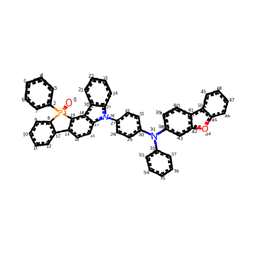 O=P1(c2ccccc2)c2ccccc2-c2ccc3c(c21)c1ccccc1n3-c1ccc(N(c2ccccc2)c2ccc3c(c2)oc2ccccc23)cc1